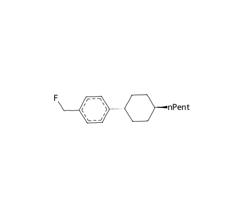 CCCCC[C@H]1CC[C@H](c2ccc(CF)cc2)CC1